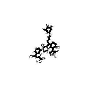 Cc1cc(OCCCc2c3n(c4c(-c5c(C)nn(C)c5C)c(Cl)ccc24)[C@H](C)CN(c2cccc4c(Cl)cc(C(=O)O)nc24)C3=O)cc(C)c1Cl